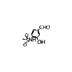 CS(=O)(=O)Nc1ccc(C=O)cc1O